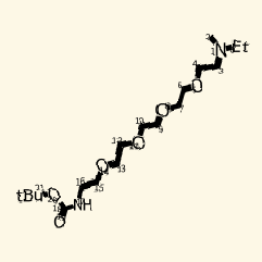 CCN(C)CCOCCOCCOCCOCCNC(=O)OC(C)(C)C